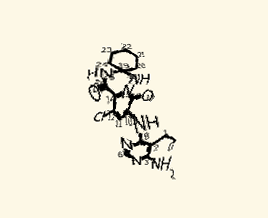 CCc1c(N)ncnc1Nc1cc(Cl)c2n(c1=O)NC1(CCCCC1)NC2=O